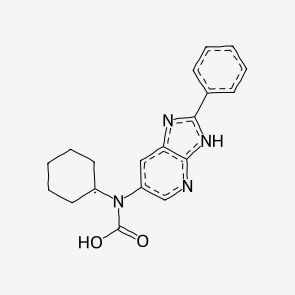 O=C(O)N([C]1CCCCC1)c1cnc2[nH]c(-c3ccccc3)nc2c1